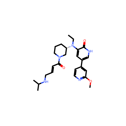 CCN(c1cc(-c2ccnc(OC)c2)c[nH]c1=O)[C@H]1CCCN(C(=O)/C=C/CNC(C)C)C1